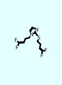 FC(F)=CCCSc1nccn1CCC=C(F)F